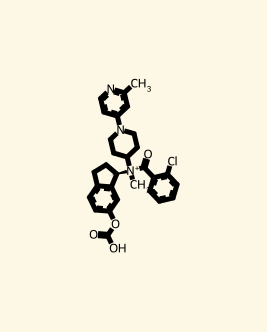 Cc1cc(N2CCC([N+](C)(C(=O)c3ccccc3Cl)[C@@H]3CCc4ccc(OC(=O)O)cc43)CC2)ccn1